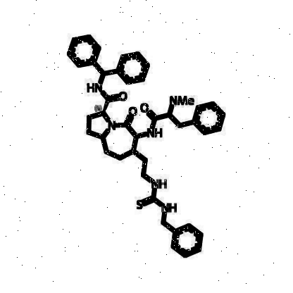 CNC(Cc1ccccc1)C(=O)NC1C(=O)N2C(CCC1CCNC(=S)NCc1ccccc1)CC[C@H]2C(=O)NC(c1ccccc1)c1ccccc1